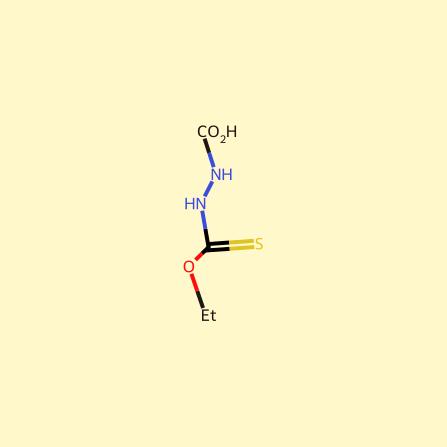 CCOC(=S)NNC(=O)O